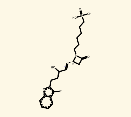 O=C1C[C@H](/C=C/C(O)CCc2sc3ccccc3c2Cl)N1CCCCCCP(=O)(O)O